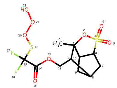 CC12OS(=O)(=O)C3CC(CC31)C2COC(=O)C(F)(F)SOOO